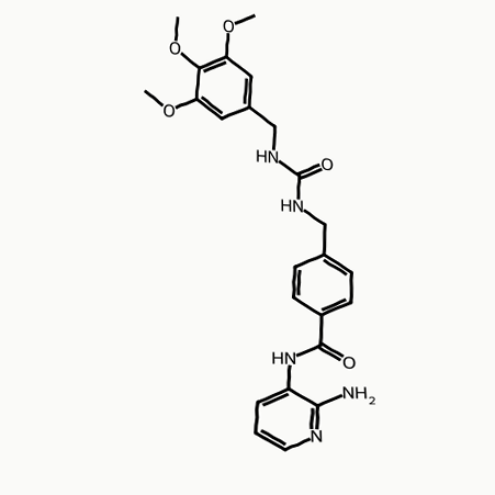 COc1cc(CNC(=O)NCc2ccc(C(=O)Nc3cccnc3N)cc2)cc(OC)c1OC